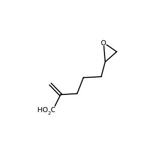 C=C(CCCC1CO1)C(=O)O